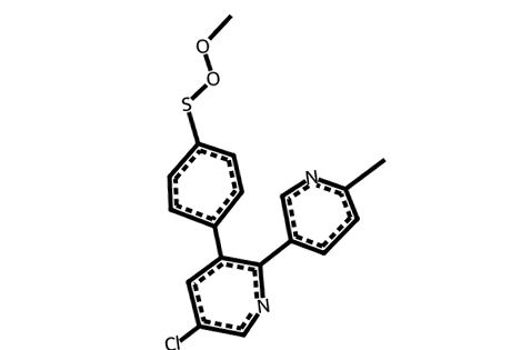 COOSc1ccc(-c2cc(Cl)cnc2-c2ccc(C)nc2)cc1